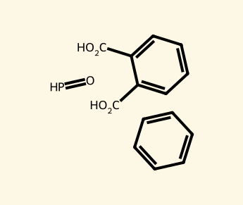 O=C(O)c1ccccc1C(=O)O.O=P.c1ccccc1